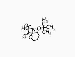 CC(C)(C)O[C@@H]1CCCO[C@@]1(N=C=O)C(=O)O